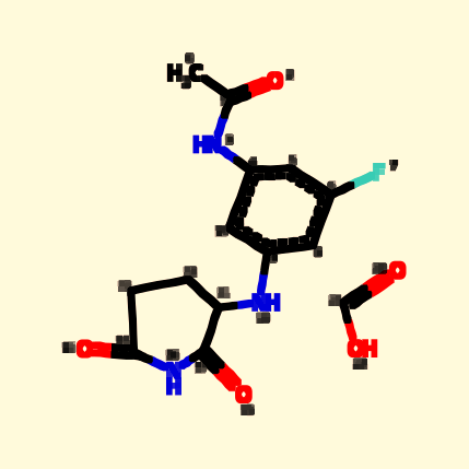 CC(=O)Nc1cc(F)cc(NC2CCC(=O)NC2=O)c1.O=CO